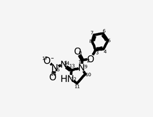 O=C(Oc1ccccc1)N1CCN/C1=N\[N+](=O)[O-]